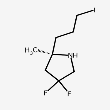 C[C@@]1(CCCI)CC(F)(F)CN1